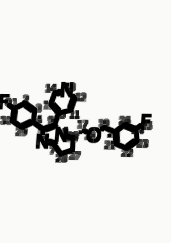 Fc1ccc(-c2nc3n(c2-c2ccncc2)[C@H](COCc2cccc(F)c2)CC3)cc1